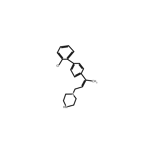 CC(=CCN1CCNCC1)c1ccc(-c2ccccc2Cl)cc1